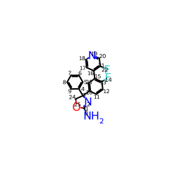 NC1=NC(c2ccccc2)(c2ccc(F)c(-c3ccncc3F)c2)CO1